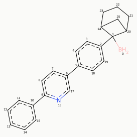 BC1(c2ccc(-c3ccc(-c4ccccc4)nc3)cc2)C2CCCC1C2